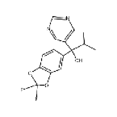 CC(C)C(O)(c1cncnc1)c1ccc2c(c1)OC(F)(F)O2